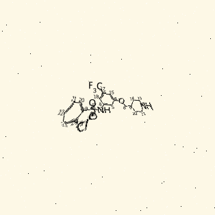 O=S(=O)(Nc1cc(OCC2CCNCC2)cc(C(F)(F)F)c1)c1ccccc1Cl